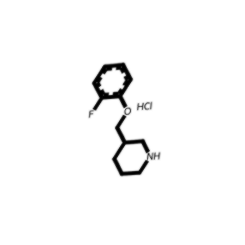 Cl.Fc1ccccc1OCC1CCCNC1